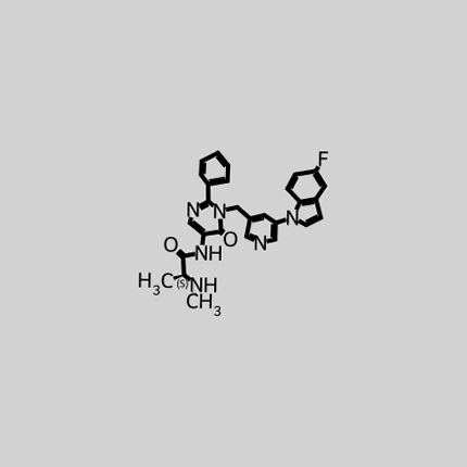 CN[C@@H](C)C(=O)Nc1cnc(-c2ccccc2)n(Cc2cncc(-n3ccc4cc(F)ccc43)c2)c1=O